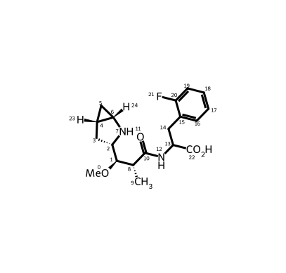 CO[C@@H]([C@@H]1C[C@@H]2C[C@@H]2N1)[C@@H](C)C(=O)NC(Cc1ccccc1F)C(=O)O